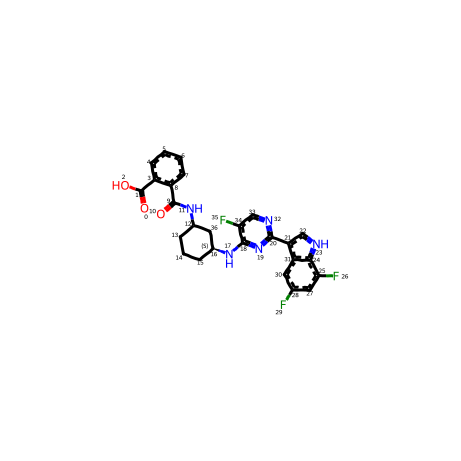 O=C(O)c1ccccc1C(=O)NC1CCC[C@H](Nc2nc(-c3c[nH]c4c(F)cc(F)cc34)ncc2F)C1